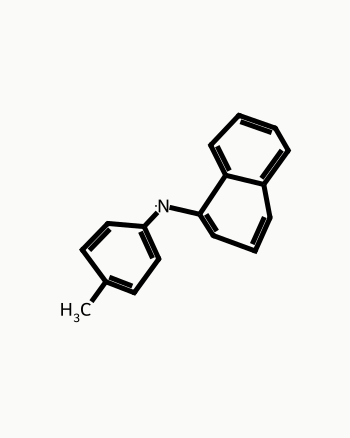 Cc1ccc([N]c2cccc3ccccc23)cc1